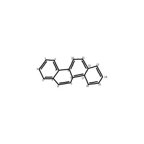 [c]1ccc2c(c1)ccc1c2[c]cc2ccccc21